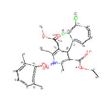 CCOC(=O)C1=C(C)NC(C)=C(C(=O)OC)C1c1cccc(Cl)c1Cl.Cc1cccc(C)c1O